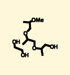 COC(C)COC(C)COC(C)CO.OCCO